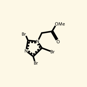 COC(=O)Cn1c(Br)nc(Br)c1Br